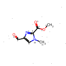 COC(=O)c1nc(C=O)cn1C